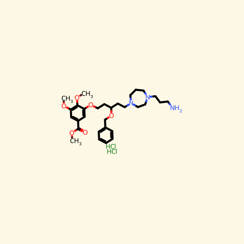 COC(=O)c1cc(OC)c(OC)c(OCCC(CCN2CCCN(CCCN)CC2)OCc2ccccc2)c1.Cl.Cl